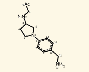 CC(=O)CNC1CCN(c2ccc(CN)cc2)C1